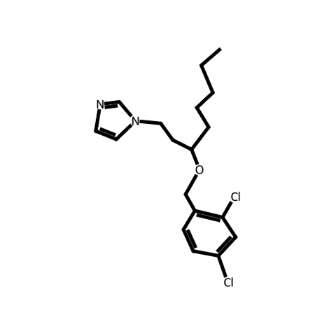 CCCCCC(CCn1ccnc1)OCc1ccc(Cl)cc1Cl